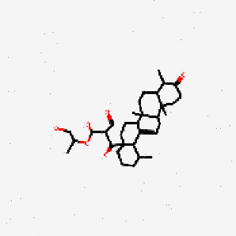 CC(CO)OC(O)C(C=O)C(=O)C12CCCC(C)C1C1=CCC3C(C)(CCC4C(C)C(=O)CCC43C)C1CC2